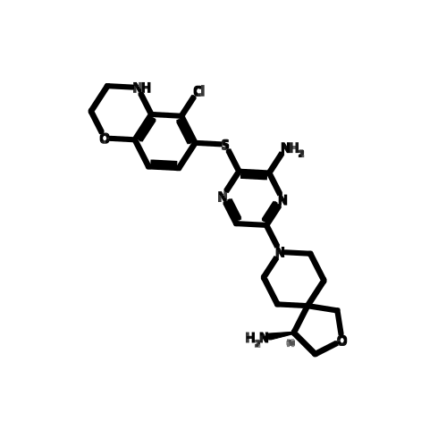 Nc1nc(N2CCC3(CC2)COC[C@H]3N)cnc1Sc1ccc2c(c1Cl)NCCO2